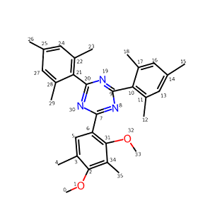 COc1c(C)cc(-c2nc(-c3c(C)cc(C)cc3C)nc(-c3c(C)cc(C)cc3C)n2)c(OC)c1C